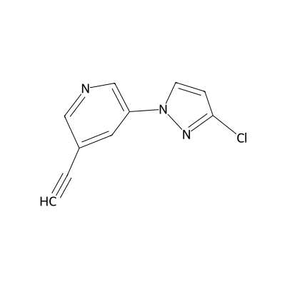 C#Cc1cncc(-n2ccc(Cl)n2)c1